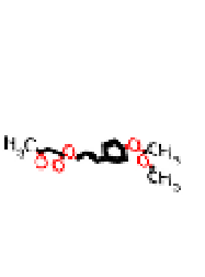 CCOC(C)Oc1ccc(C=CCOC(=O)CC(C)=O)cc1